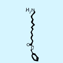 NCCCCCCCCCCCC(=O)OCc1ccccc1